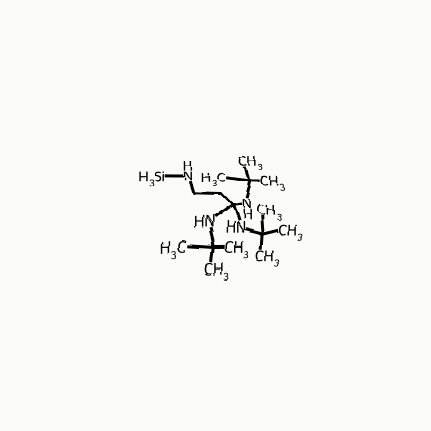 CC(C)(C)NC(CCN[SiH3])(NC(C)(C)C)NC(C)(C)C